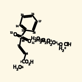 Cl.O.O.O.O.O.O.O=C(O)/C=C/S(=O)(=O)c1ccccc1